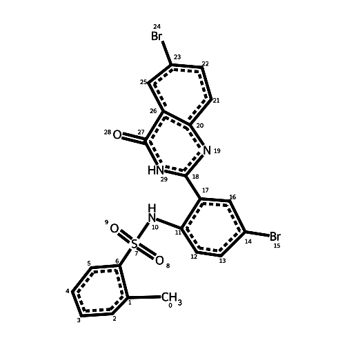 Cc1ccccc1S(=O)(=O)Nc1ccc(Br)cc1-c1nc2ccc(Br)cc2c(=O)[nH]1